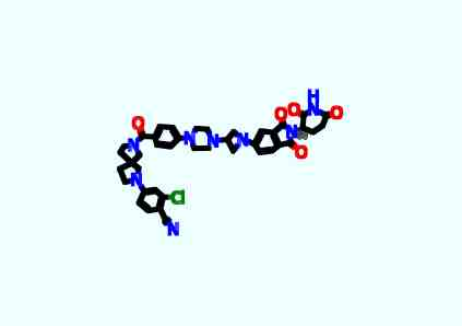 N#Cc1ccc(N2CCC3(CCN(C(=O)c4ccc(N5CCN(C6CN(c7ccc8c(c7)C(=O)N([C@H]7CCC(=O)NC7=O)C8=O)C6)CC5)cc4)C3)C2)cc1Cl